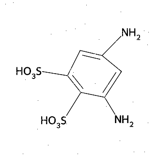 Nc1cc(N)c(S(=O)(=O)O)c(S(=O)(=O)O)c1